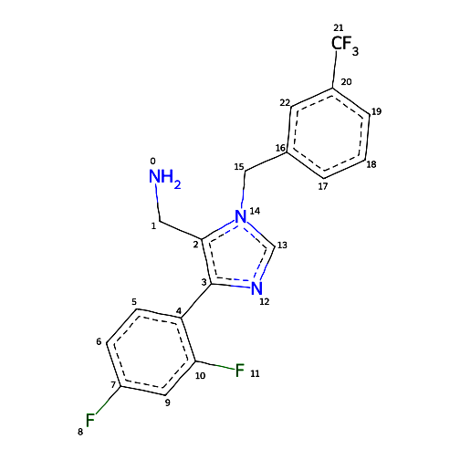 NCc1c(-c2ccc(F)cc2F)ncn1Cc1cccc(C(F)(F)F)c1